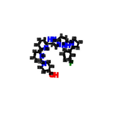 N=C(/C=C\c1ncc(-c2cccc(-c3cccc(N4CCC(O)CC4)n3)n2)[nH]1)N1CCCC1c1cccc(F)c1